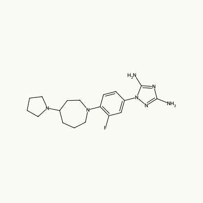 Nc1nc(N)n(-c2ccc(N3CCCC(N4CCCC4)CC3)c(F)c2)n1